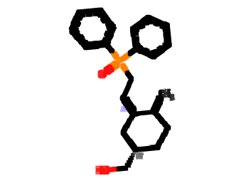 C=C1CC[C@H](CO)C/C1=C/CP(=O)(c1ccccc1)c1ccccc1